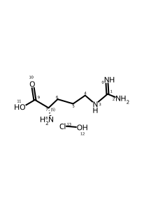 N=C(N)NCCC[C@H](N)C(=O)O.OCl